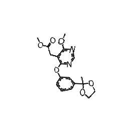 COC(=O)Cc1c(OC)ncnc1Oc1cccc(C2(C)OCCO2)c1